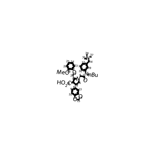 CCCCN(C(=O)CN1C[C@H](c2ccc3c(c2)OCO3)[C@@H](C(=O)O)[C@@H]1COc1ccccc1OC)c1cccc(C[N+](C)(C)C)c1